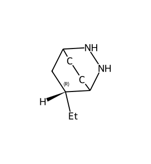 CC[C@@H]1CC2CCC1NN2